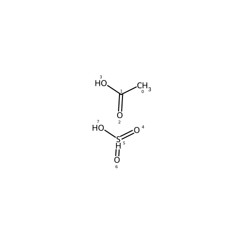 CC(=O)O.O=[SH](=O)O